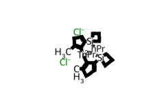 CCC[Si]1(C2=CCC(C)=[C]2[Ti+2][C]2=C(C)CC=C2[Si]2(CCC)CCC2)CCC1.[Cl-].[Cl-]